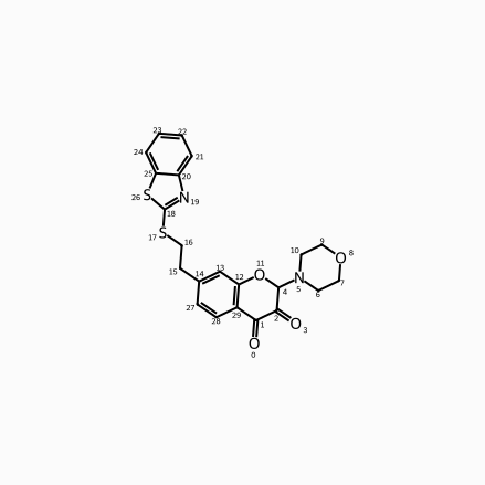 O=C1C(=O)C(N2CCOCC2)Oc2cc(CCSc3nc4ccccc4s3)ccc21